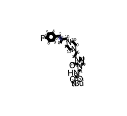 C/C(=C\c1ccc(F)cc1)CN1CCN(CCn2ncn(CNC(=O)OC(C)(C)C)c2=O)CC1